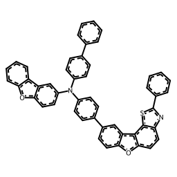 c1ccc(-c2ccc(N(c3ccc(-c4ccc5oc6ccc7nc(-c8ccccc8)sc7c6c5c4)cc3)c3ccc4oc5ccccc5c4c3)cc2)cc1